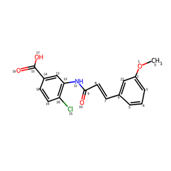 COc1cccc(/C=C/C(=O)Nc2cc(C(=O)O)ccc2Cl)c1